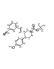 COc1ccc([C@@H]2CCN(C(=O)OC(C)(C)C)C[C@H]2/C=C/c2cccc(C#N)c2)cc1